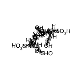 O=CCCC(=O)CCNc1nc(NCCS(=O)(=O)O)nc(Nc2ccc(C=Cc3ccc(Nc4nc(NCCOCCO)nc(NCCS(=O)(=O)O)n4)cc3OOSO)c(S(=O)(=O)O)c2)n1